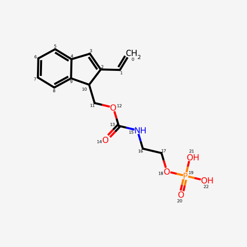 C=CC1=Cc2ccccc2C1COC(=O)NCCOP(=O)(O)O